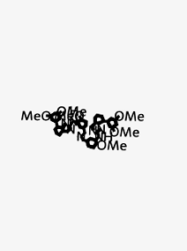 COc1cc(OC)cc(-c2cccc3cnc(Nc4cc(CN(C)Cc5ccc(OC)c(Nc6ncc7cccc(-c8cc(OC)cc(OC)c8)c7n6)c5)ccc4OC)nc23)c1